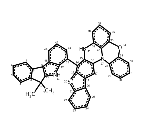 CC1(C)c2ccccc2-c2c1[nH]c1c(-c3c4c(cc5c3sc3ccccc35)N3c5ccccc5Oc5cccc(c53)B4)cccc21